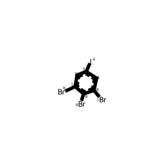 Brc1cc(I)cc(Br)c1Br